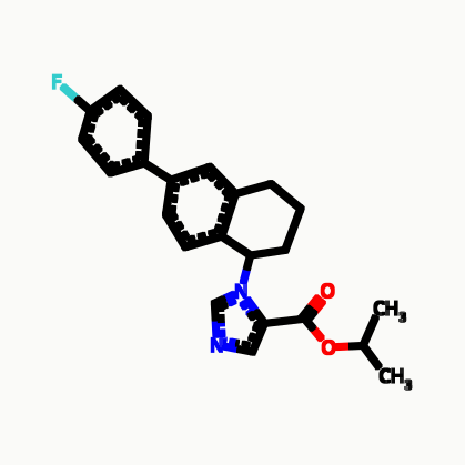 CC(C)OC(=O)c1cncn1C1CCCc2cc(-c3ccc(F)cc3)ccc21